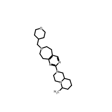 CC1CCCC2CN(c3ncc4c(n3)CCN(CC3CCOCC3)CC4)CCN12